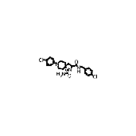 NC=O.O=C(NCc1ccc(Cl)cc1)C1=NOC2(CCN(c3ccc(Cl)cc3)CC2)C1